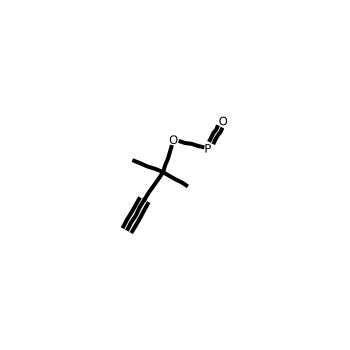 C#CC(C)(C)OP=O